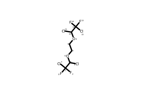 FC(F)(Cl)C(Cl)OCCOC(Cl)C(F)(F)Cl